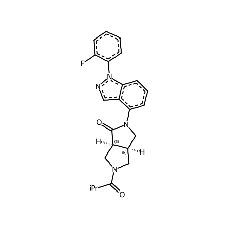 CC(C)C(=O)N1C[C@@H]2CN(c3cccc4c3cnn4-c3ccccc3F)C(=O)[C@@H]2C1